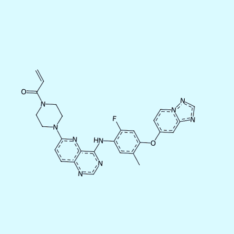 C=CC(=O)N1CCN(c2ccc3ncnc(Nc4cc(C)c(Oc5ccn6ncnc6c5)cc4F)c3n2)CC1